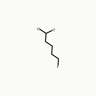 FCCCCC(Cl)Cl